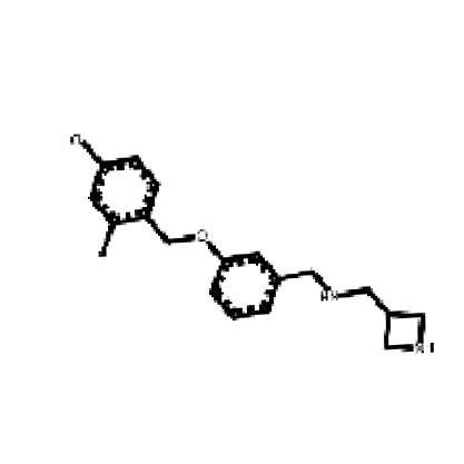 Cc1cc(Cl)ccc1COc1cccc(CNCC2CNC2)c1